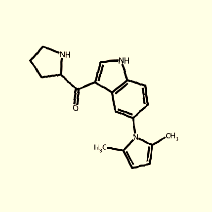 Cc1ccc(C)n1-c1ccc2[nH]cc(C(=O)C3CCCN3)c2c1